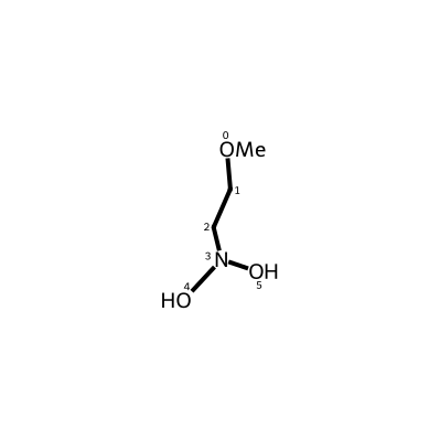 COCCN(O)O